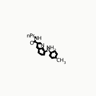 CCCNC(=O)c1cnc2c(N(N)c3ccc(C)cc3)cccc2c1